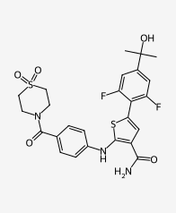 CC(C)(O)c1cc(F)c(-c2cc(C(N)=O)c(Nc3ccc(C(=O)N4CCS(=O)(=O)CC4)cc3)s2)c(F)c1